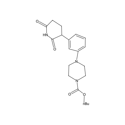 CCCCOC(=O)N1CCN(c2cccc(C3CCC(=O)NC3=O)c2)CC1